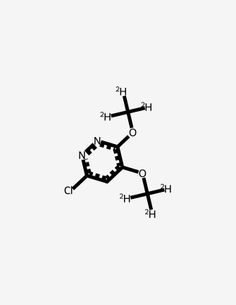 [2H]C([2H])([2H])Oc1cc(Cl)nnc1OC([2H])([2H])[2H]